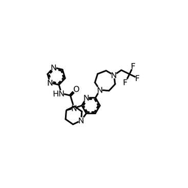 O=C(Nc1ccncn1)N1c2nc(N3CCCN(CC(F)(F)F)CC3)ccc2N2CCC1CC2